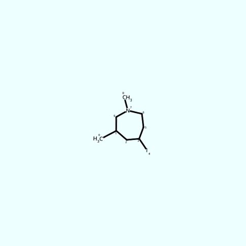 CC1CC(I)CCN(C)C1